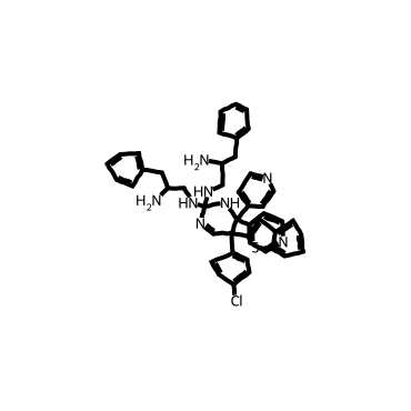 NC(CNC1(NCC(N)Cc2ccccc2)N=CC(c2ccc(Cl)cc2)(c2cc3ccccc3s2)C(c2ccncc2)(c2ccncc2)N1)Cc1ccccc1